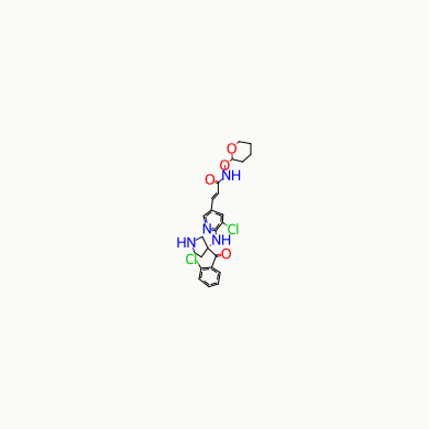 O=C(/C=C/c1cnc(N[C@]2(C(=O)c3ccccc3Cl)CCNC2)c(Cl)c1)NOC1CCCCO1